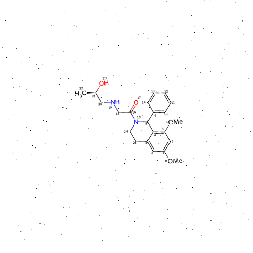 COc1cc2c(c(OC)c1)C(c1ccccc1)N(C(=O)CNC[C@@H](C)O)CC2